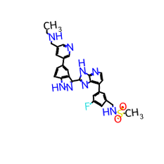 CCNCc1cncc(-c2ccc3[nH]nc(-c4nc5c(-c6cc(F)cc(CNS(C)(=O)=O)c6)ccnc5[nH]4)c3c2)c1